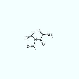 CC(=O)N(C(C)=O)C(=O)C(N)=O